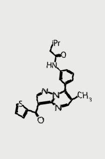 Cc1cnc2c(C(=O)c3cccs3)cnn2c1-c1cccc(NC(=O)CC(C)C)c1